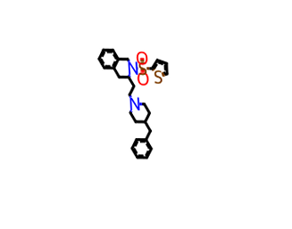 O=S(=O)(c1cccs1)N1Cc2ccccc2CC1CCN1CCC(Cc2ccccc2)CC1